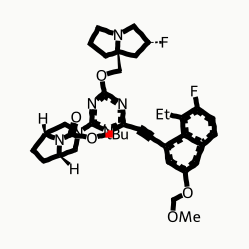 CCc1c(F)ccc2cc(OCOC)cc(C#Cc3nc(OC[C@@]45CCCN4C[C@H](F)C5)nc(N4C[C@H]5CC[C@@H](C4)N5C(=O)OC(C)(C)C)n3)c12